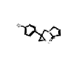 Cc1ccc(C2(CN3CC=CC3=O)CC2)cc1